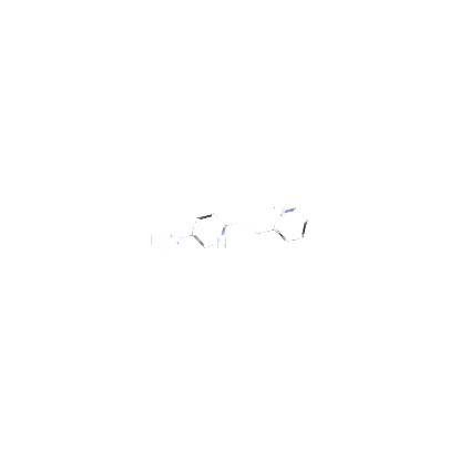 Nc1ccc(SCc2ccccn2)nc1